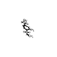 C=CS(=O)(=O)c1ccc(S(=O)(=O)O)cc1N